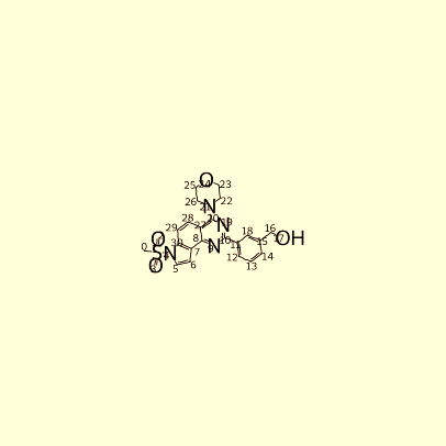 CS(=O)(=O)n1ccc2c3nc(-c4cccc(CO)c4)nc(N4CCOCC4)c3ccc21